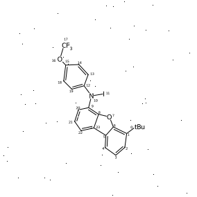 CC(C)(C)c1cccc2c1oc1c(N(I)c3ccc(OC(F)(F)F)cc3)cccc12